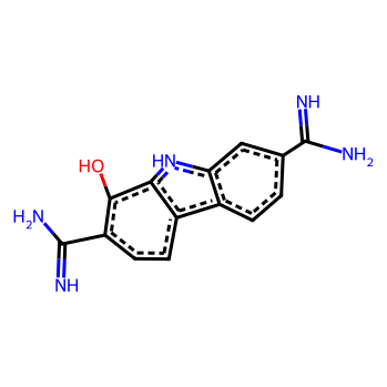 N=C(N)c1ccc2c(c1)[nH]c1c(O)c(C(=N)N)ccc12